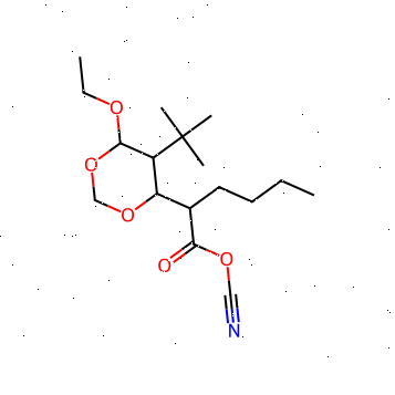 CCCCC(C(=O)OC#N)C1OCOC(OCC)C1C(C)(C)C